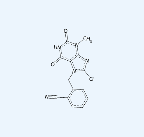 Cn1c(=O)[nH]c(=O)c2c1nc(Cl)n2Cc1ccccc1C#N